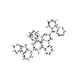 c1ccc(-c2nc(-c3ccccc3-c3cc(-n4c5ccccc5c5ccccc54)cc4c3sc3ccccc34)nc(-c3cccc4c3oc3ccccc34)n2)cc1